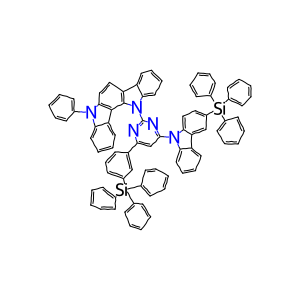 c1ccc(-n2c3ccccc3c3c2ccc2c4ccccc4n(-c4nc(-c5cccc([Si](c6ccccc6)(c6ccccc6)c6ccccc6)c5)cc(-n5c6ccccc6c6cc([Si](c7ccccc7)(c7ccccc7)c7ccccc7)ccc65)n4)c23)cc1